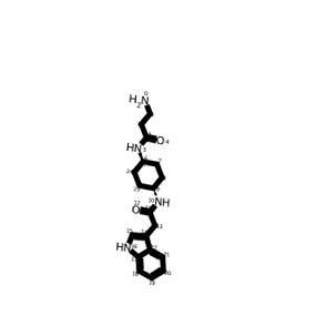 NCCC(=O)N[C@H]1CC[C@H](NC(=O)Cc2c[nH]c3ccccc23)CC1